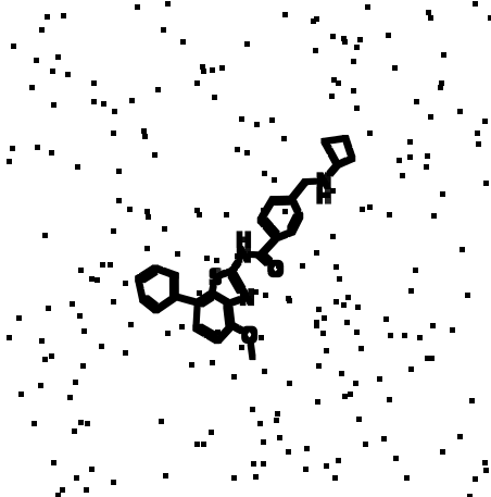 COc1ccc(-c2ccccc2)c2sc(NC(=O)c3ccc(CNC4CCC4)cc3)nc12